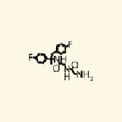 CC(Cc1ccc(F)cc1)(NC(=O)CNC(=O)CN)c1ccc(F)cc1